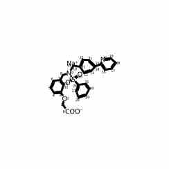 O=C([O-])COc1cccc(CN(Cc2ccc(-c3ccccn3)cc2)S(=O)(=O)c2ccccc2)c1.[Na+]